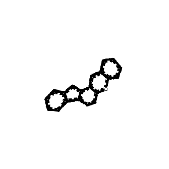 c1ccc2oc3ccc4c5ccccc5cc4c3cc2c1